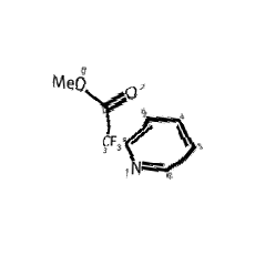 COC(=O)C(F)(F)F.c1ccncc1